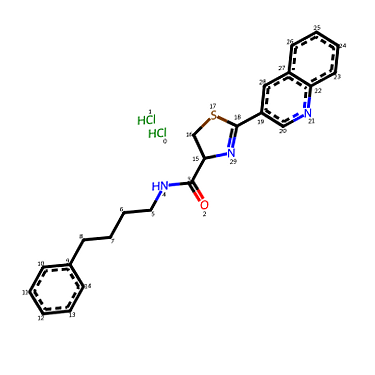 Cl.Cl.O=C(NCCCCc1ccccc1)C1CSC(c2cnc3ccccc3c2)=N1